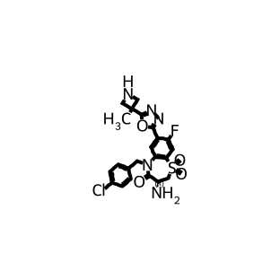 CC1(c2nnc(-c3cc4c(cc3F)S(=O)(=O)C[C@H](N)C(=O)N4Cc3ccc(Cl)cc3)o2)CNC1